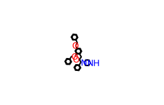 O=C(Cc1ccc(OCc2ccccc2)cc1OCc1ccccc1)C(c1ccccc1)N1CCNCC1